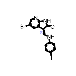 O=C1Nc2ncc(Br)cc2/C1=C/Nc1ccc(I)cc1